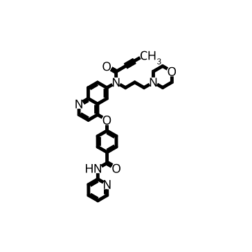 CC#CC(=O)N(CCCN1CCOCC1)c1ccc2nccc(Oc3ccc(C(=O)Nc4ccccn4)cc3)c2c1